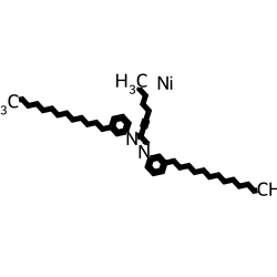 CCCCCC#CC(C=Nc1cccc(CCCCCCCCCCCCC)c1)=Nc1cccc(CCCCCCCCCCCCC)c1.[Ni]